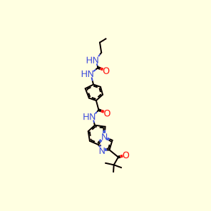 CCCNC(=O)Nc1ccc(C(=O)Nc2ccc3nc(C(=O)C(C)(C)C)cn3c2)cc1